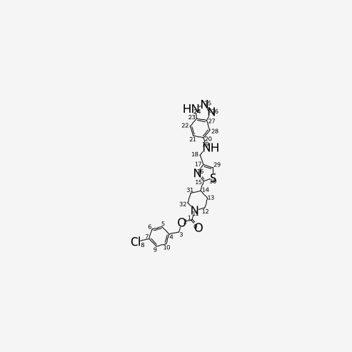 O=C(OCc1ccc(Cl)cc1)N1CCC(c2nc(CNc3ccc4[nH]nnc4c3)cs2)CC1